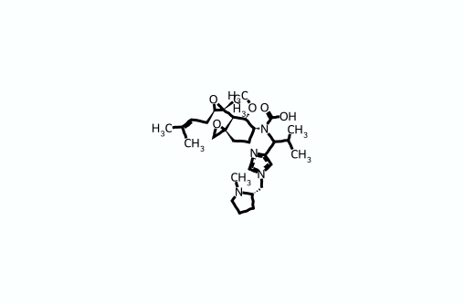 CO[C@@H]1[C@H](N(C(=O)O)C(c2cn(C[C@@H]3CCCN3C)cn2)C(C)C)CC[C@]2(CO2)[C@H]1[C@@]1(C)O[C@@H]1CC=C(C)C